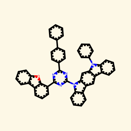 c1ccc(-c2ccc(-c3nc(-c4cccc5c4oc4ccccc45)nc(-n4c5ccccc5c5cc6c7ccccc7n(-c7ccccc7)c6cc54)n3)cc2)cc1